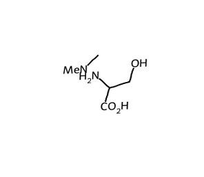 CNC.NC(CO)C(=O)O